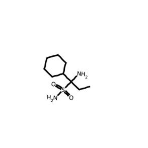 CCC(N)(C1CCCCC1)S(N)(=O)=O